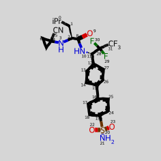 CC(C)C[C@H](NC1(C#N)CC1)C(=O)N[C@@H](c1ccc(-c2ccc(S(N)(=O)=O)cc2)cc1)C(F)(F)C(F)(F)F